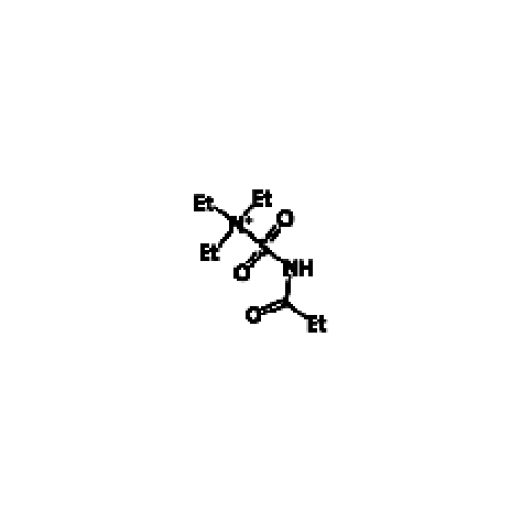 CCC(=O)NS(=O)(=O)[N+](CC)(CC)CC